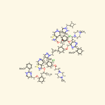 COc1ccccc1-c1nccc(COc2ccccc2C[C@@H](Oc2nsc3cnc(-c4cnn(CC5CC5c5ccc(OCc6ccnc(-c7ccccc7OC)n6)c(C[C@@H](Oc6nsc7cnc(-c8cnn(CC9CCC9)c8)c(-c8ccc(OCCN9CCN(C)CC9)c(Cl)c8C)c67)C(=O)O)c5)c4)c(-c4ccc(OCCN5CCN(C)CC5)c(Cl)c4C)c23)C(=O)O)n1